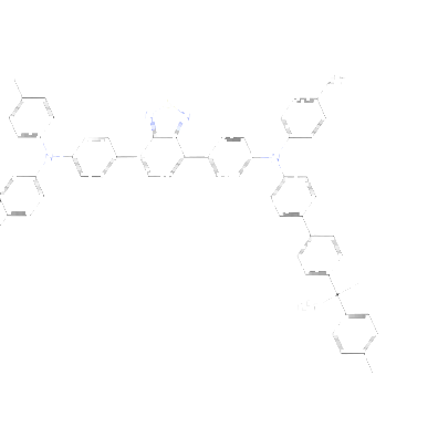 CCCC(C)(c1ccc(C)cc1)c1ccc(-c2ccc(N(c3ccc(-c4ccc(-c5ccc(N(c6ccc(C)cc6)c6ccc(C(C)C)cc6)cc5)c5nsnc45)cc3)c3ccc(C(C)C)cc3)cc2)cc1